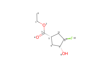 CCOC(=O)[C@H]1C[C@@H](O)[C@H](F)C1